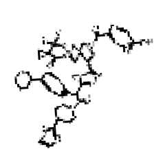 O=C(c1cnc(O)cn1)N1CC(c2nnc(C(C(=O)N3CCC(c4nccs4)CC3)c3ccc(C4CCCCC4)cc3)o2)C2(C1)CN(C(=O)C1(C(F)(F)F)CC1)C2